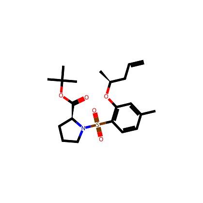 C=CC[C@H](C)Oc1cc(C)ccc1S(=O)(=O)N1CCC[C@H]1C(=O)OC(C)(C)C